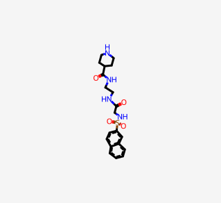 O=C(CNS(=O)(=O)c1ccc2ccccc2c1)NCCNC(=O)C1CCNCC1